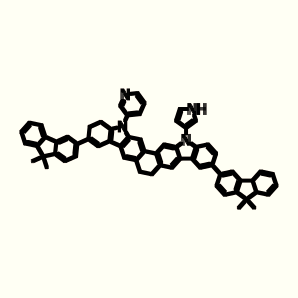 CC1(C)c2ccccc2-c2cc(C3=Cc4c(n(-c5cccnc5)c5cc6c(cc45)CCc4cc5c7cc(-c8ccc9c(c8)C8C=CC=CC8C9(C)C)ccc7n(-c7cc[nH]c7)c5cc4-6)CC3)ccc21